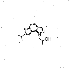 CC(O)Cn1ncc2ccc3sc(C(C)C)cc3c21